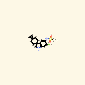 CS(=O)(=O)Nc1cc2c(cc1F)NCC21CCC2(CC2)CC1